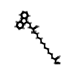 CNC(=O)CCCCCCCCCCNC(=O)OCC1c2ccccc2-c2ccccc21